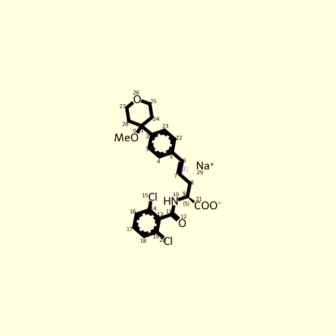 COC1(c2ccc(/C=C/C[C@H](NC(=O)c3c(Cl)cccc3Cl)C(=O)[O-])cc2)CCOCC1.[Na+]